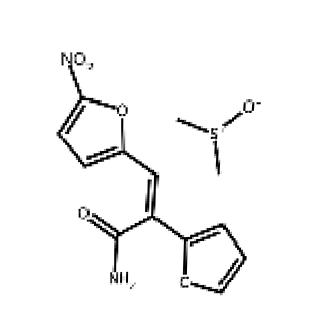 C[S+](C)[O-].NC(=O)/C(=C\c1ccc([N+](=O)[O-])o1)c1ccco1